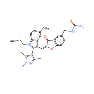 CNCCn1c(-c2c(C)nn(C)c2C)c(C=C2Oc3ccc(CNC(N)=O)cc3C2=O)c2cc(OC)ccc21